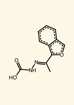 CC(=NNC(=O)O)c1occ2ccccc12